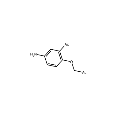 CC(=O)COc1ccc(N)cc1C(C)=O